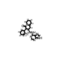 C[C@@H](Nc1ncnc2[nH]cnc12)c1cc2ccccn2c(=O)c1-c1ccccc1